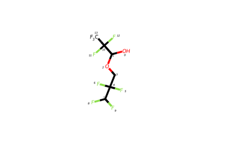 OC(OCC(F)(F)C(F)F)C(F)(F)C(F)(F)F